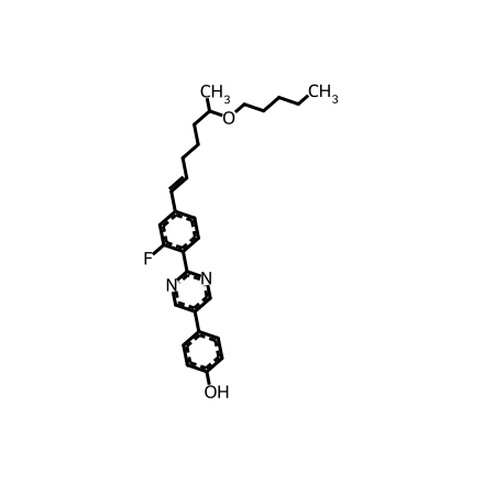 CCCCCOC(C)CCCC=Cc1ccc(-c2ncc(-c3ccc(O)cc3)cn2)c(F)c1